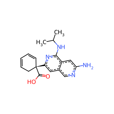 CC(C)Nc1nc([C@]2(C(=O)O)C=CC=CC2)cc2cnc(N)cc12